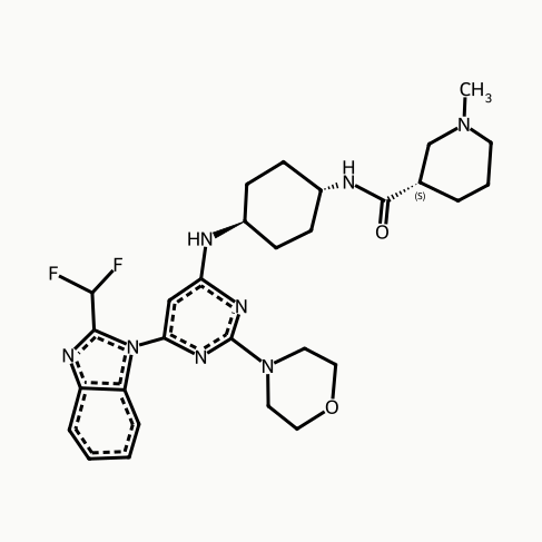 CN1CCC[C@H](C(=O)N[C@H]2CC[C@H](Nc3cc(-n4c(C(F)F)nc5ccccc54)nc(N4CCOCC4)n3)CC2)C1